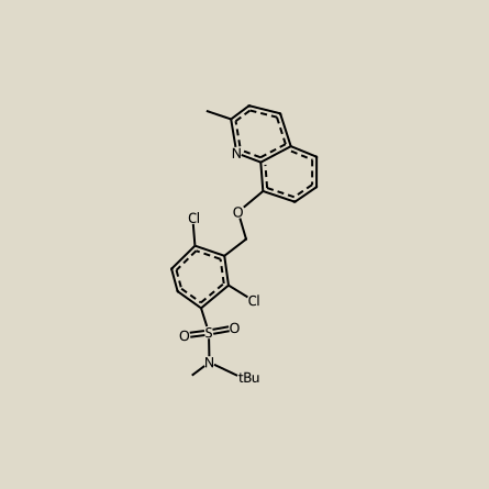 Cc1ccc2cccc(OCc3c(Cl)ccc(S(=O)(=O)N(C)C(C)(C)C)c3Cl)c2n1